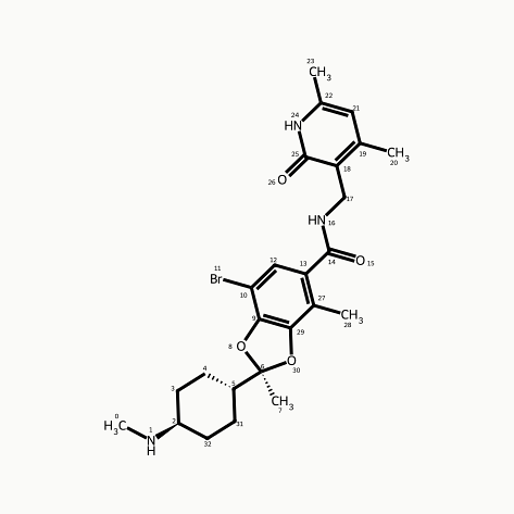 CN[C@H]1CC[C@H]([C@@]2(C)Oc3c(Br)cc(C(=O)NCc4c(C)cc(C)[nH]c4=O)c(C)c3O2)CC1